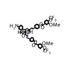 COc1cc(C(=O)Oc2ccc(/C=C/C(=O)CC(c3ccc(N)cc3N)C(O)(O)C(=O)/C=C/c3ccc(OC(=O)c4ccc(OC(F)(F)F)c(OC)c4)cc3)cc2)ccc1OC(F)(F)F